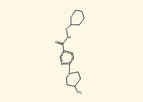 CC1CCN(c2ccc(C(=O)NOC3CCCCO3)cn2)CC1